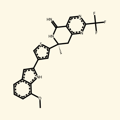 COc1cccc2cc(-c3csc([C@]4(C)Cc5nc(C(F)(F)F)ncc5C(=N)N4)c3)[nH]c12